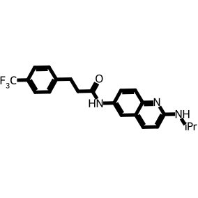 CC(C)Nc1ccc2cc(NC(=O)CCc3ccc(C(F)(F)F)cc3)ccc2n1